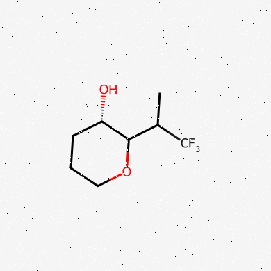 CC(C1OCCC[C@@H]1O)C(F)(F)F